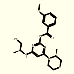 COc1cccc(C(=O)Nc2nc(N[C@@H](C)CO)cc(N3CCOC[C@@H]3C)n2)c1